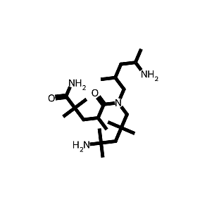 CC(N)CC(C)CN(CC(C)(C)CC(C)(C)N)C(=O)C(C)CC(C)(C)C(N)=O